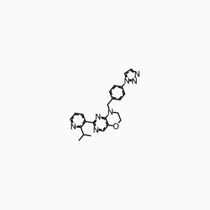 CC(C)c1ncccc1-c1ncc2c(n1)N(Cc1ccc(-n3ccnn3)cc1)CCO2